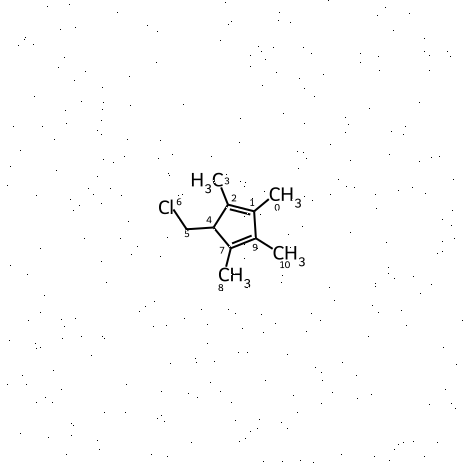 CC1=C(C)C(CCl)C(C)=C1C